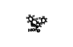 O=C(O)n1cc(-c2ccccc2)c(Cc2ccccc2Br)n1